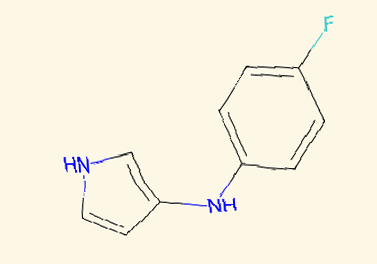 Fc1ccc(Nc2cc[nH]c2)cc1